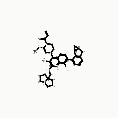 C=CC(=O)N1CCN(c2c(C#N)c(OCC34CCCN3CCC4)nc3c(F)c(-c4cccc5c4C4CC4C5)ccc23)C[C@@H]1CC#N